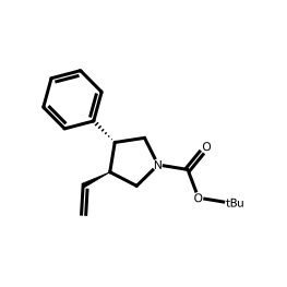 C=C[C@@H]1CN(C(=O)OC(C)(C)C)C[C@H]1c1ccccc1